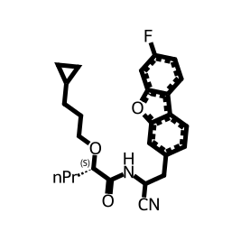 CCC[C@H](OCCCC1CC1)C(=O)NC(C#N)Cc1ccc2c(c1)oc1cc(F)ccc12